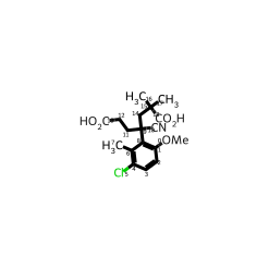 COc1ccc(Cl)c(C)c1C(C#N)(CCC(=O)O)CC(C)(C)C(=O)O